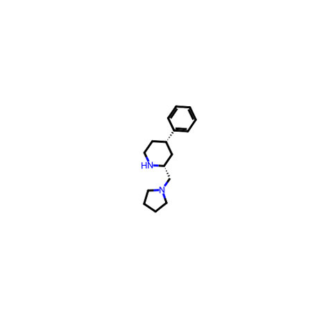 c1ccc([C@H]2CCN[C@@H](CN3CCCC3)C2)cc1